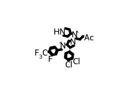 CC(=O)CCC(N1C[C@H](c2ccc(Cl)c(Cl)c2)[C@H](N(C)Cc2ccc(C(F)(F)F)c(F)c2)C1)N(C)C1CCNCC1